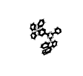 c1ccc(-c2nc(-c3ccc([Si](c4ccccc4)(c4ccccc4)c4ccccc4)cc3)nc(N3c4ccccc4C4(c5ccccc53)C3CC5CC(C3)CC4C5)n2)cc1